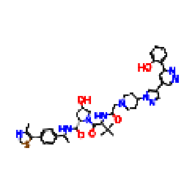 Cc1ncsc1-c1ccc(C(C)NC(=O)[C@@H]2C[C@@H](O)CN2C(=O)C(NC(=O)CN2CCC(n3cc(-c4cnnc(-c5ccccc5O)c4)cn3)CC2)C(C)(C)C)cc1